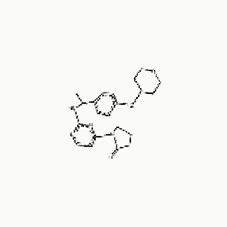 CC(Nc1nccc(N2CCOC2=O)n1)c1ccc(OC2CCOCC2)cc1